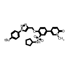 Cn1cc(-c2ccc(OCc3cn(-c4ccc(C(C)(C)C)cc4)nn3)c(S(=O)(=O)NC3CCCC3)c2)ccc1=O